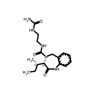 CC[C@H](C)[C@H]1C(=O)Nc2ccccc2CN1C(=O)NCCNC(N)=O